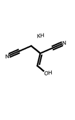 N#CCC(C#N)=CO.[KH]